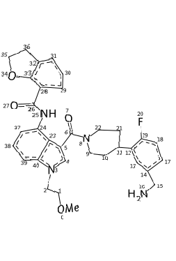 COCCn1cc(C(=O)N2CCC(c3cc(CN)ccc3F)CC2)c2c(NC(=O)c3cccc4c3OCC4)cccc21